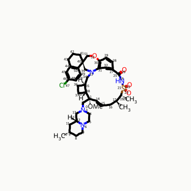 CO[C@@]1(CN2CCN3CC[C@H](C)C[C@@H]3C2)/C=C/C[C@H](C)[C@@H](C)S(=O)(=O)NC(=O)c2ccc3c(c2)N(C[C@@H]2CC[C@H]21)C[C@@]1(CCCc2cc(Cl)ccc21)CO3